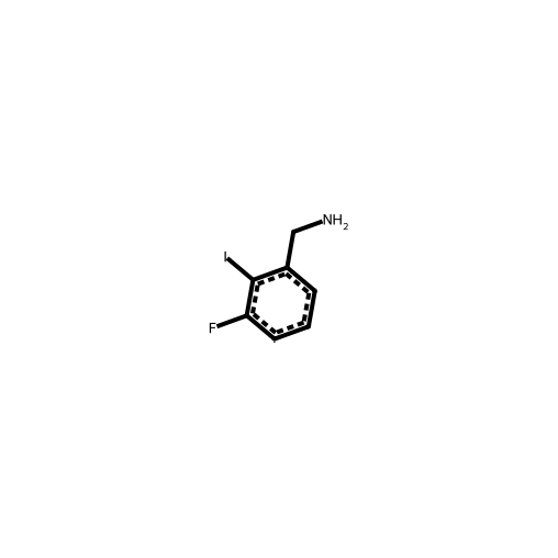 NCc1cc[c]c(F)c1I